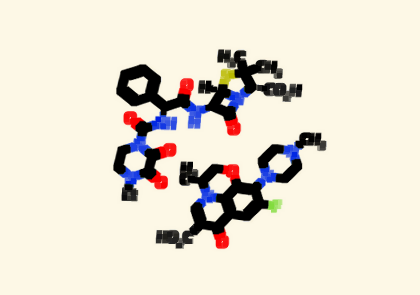 CCN1CCN(C(=O)N[C@@H](C(=O)N[C@@H]2C(=O)N3[C@@H]2SC(C)(C)[C@@H]3C(=O)O)c2ccccc2)C(=O)C1=O.C[C@H]1COc2c(N3CCN(C)CC3)c(F)cc3c(=O)c(C(=O)O)cn1c23